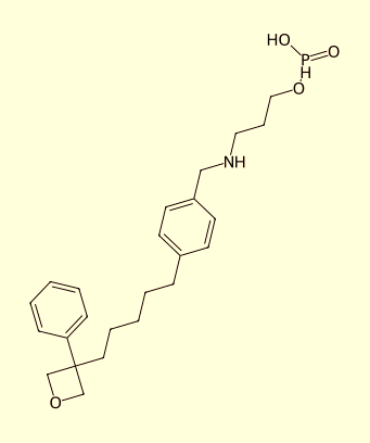 O=[PH](O)OCCCNCc1ccc(CCCCCC2(c3ccccc3)COC2)cc1